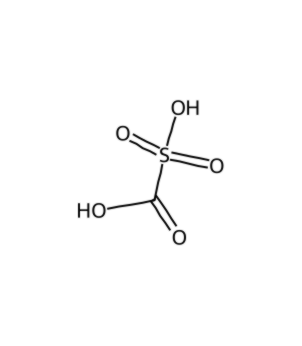 O=C(O)S(=O)(=O)O